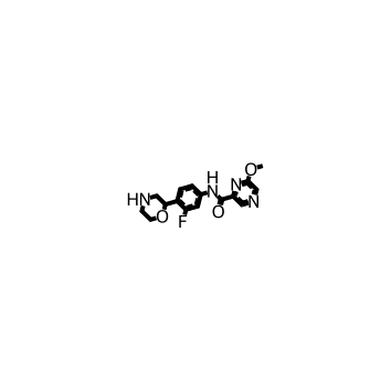 COc1cncc(C(=O)Nc2ccc(C3CNCCO3)c(F)c2)n1